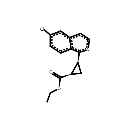 CCOC(=O)[C@@H]1C[C@@H]1c1nccc2cc(Cl)ccc12